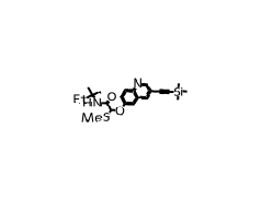 CCC(C)(C)NC(=O)C(Oc1ccc2ncc(C#C[Si](C)(C)C)cc2c1)SC